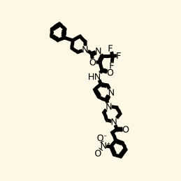 O=C(Nc1ccc(N2CCN(C(=O)Cc3ccccc3[N+](=O)[O-])CC2)nc1)c1oc(N2CCC(c3ccccc3)CC2)nc1C(F)(F)F